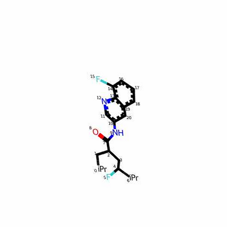 CC(C)CC(CC(F)C(C)C)C(=O)Nc1cnc2c(F)cccc2c1